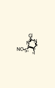 N#CSc1nc(Cl)ncc1I